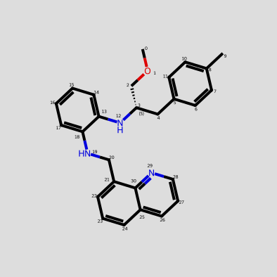 COC[C@H](Cc1ccc(C)cc1)Nc1ccccc1NCc1cccc2cccnc12